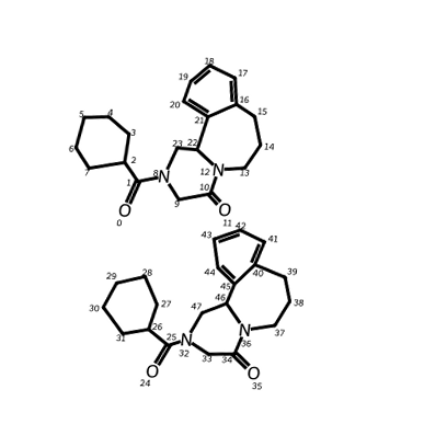 O=C(C1CCCCC1)N1CC(=O)N2CCCc3ccccc3C2C1.O=C(C1CCCCC1)N1CC(=O)N2CCCc3ccccc3C2C1